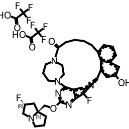 O=C(O)C(F)(F)F.O=C(O)C(F)(F)F.O=C1CCCCc2cccc3cc(O)cc(c23)-c2ncc3c(nc(OC[C@@]45CCCN4C[C@H](F)C5)nc3c2F)N2CCCN1CC2